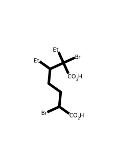 CCC(CCC(Br)C(=O)O)C(Br)(CC)C(=O)O